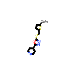 COc1ccc(CSc2nnc(-c3ccncc3)o2)s1